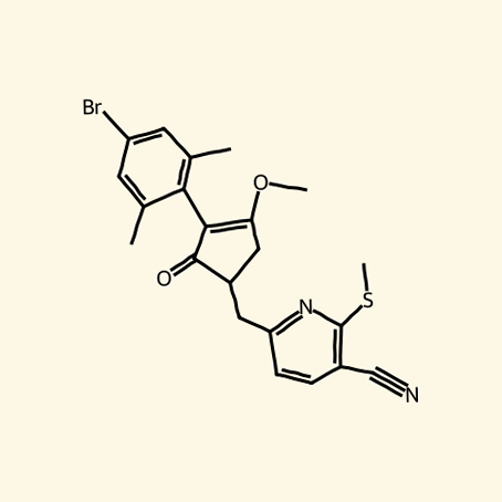 COC1=C(c2c(C)cc(Br)cc2C)C(=O)C(Cc2ccc(C#N)c(SC)n2)C1